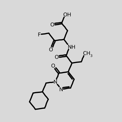 CCC(C(=O)NC(CC(=O)O)C(=O)CF)c1ccnn(CC2CCCCC2)c1=O